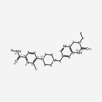 CCN1Cc2ncc(CN3CCN(c4ccc(C(=O)NC)nc4C)CC3)cc2NC1=O